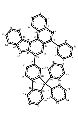 c1ccc(-c2nc3ccccc3c3c2cc(-c2ccc4c(c2)C(c2ccccc2)(c2ccccc2)c2ccccc2-4)c2oc4ccccc4c23)cc1